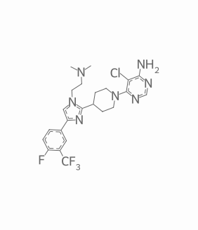 CN(C)CCn1cc(-c2ccc(F)c(C(F)(F)F)c2)nc1C1CCN(c2ncnc(N)c2Cl)CC1